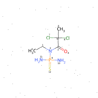 CCN(C(=O)C(C)(Cl)Cl)P(N)(N)=S